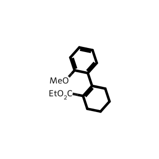 CCOC(=O)C1=C(c2ccccc2OC)CCCC1